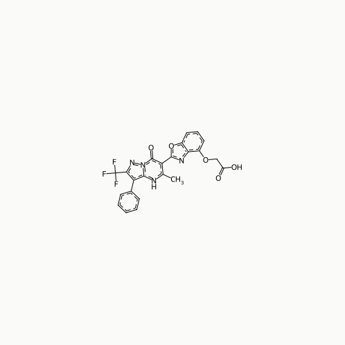 Cc1[nH]c2c(-c3ccccc3)c(C(F)(F)F)nn2c(=O)c1-c1nc2c(OCC(=O)O)cccc2o1